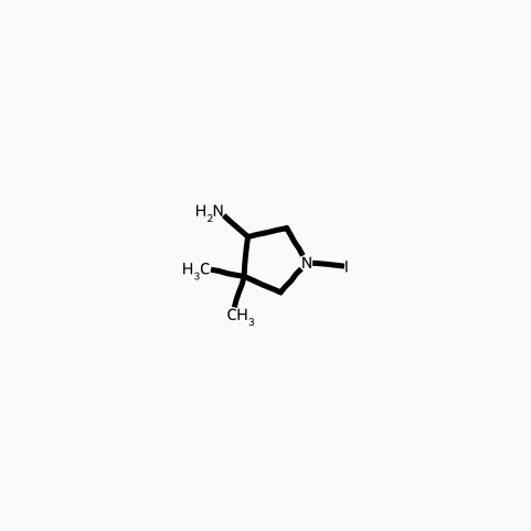 CC1(C)CN(I)CC1N